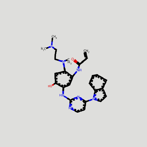 C=CC(=O)Nc1cc(Nc2nccc(-n3ccc4ccccc43)n2)c(O)cc1N(C)CCN(C)C